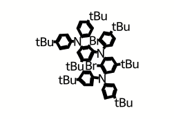 CC(C)(C)c1ccc(N(c2ccc(C(C)(C)C)cc2)c2cc(C(C)(C)C)cc(N(c3ccc(C(C)(C)C)cc3)c3cc(C(C)(C)C)cc(N(c4ccc(C(C)(C)C)cc4)c4ccc(C(C)(C)C)cc4)c3Br)c2Br)cc1